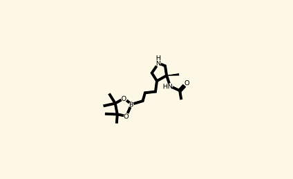 CC(=O)N[C@@]1(C)CNCC1CCCB1OC(C)(C)C(C)(C)O1